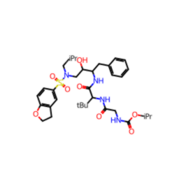 CC(C)CN(CC(O)C(Cc1ccccc1)NC(=O)C(NC(=O)CNC(=O)OC(C)C)C(C)(C)C)S(=O)(=O)c1ccc2c(c1)CCO2